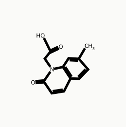 Cc1ccc2ccc(=O)n(CC(=O)O)c2c1